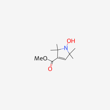 COC(=O)C1=CC(C)(C)N(O)C1(C)C